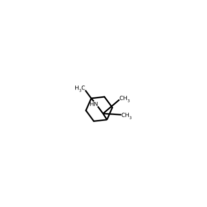 CC12CCC(CC1)C(C)(C)N2